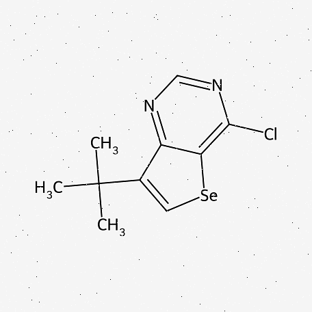 CC(C)(C)c1c[se]c2c(Cl)ncnc12